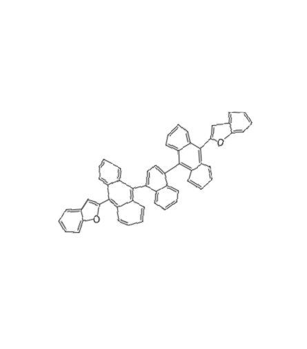 c1ccc2oc(-c3c4ccccc4c(-c4ccc(-c5c6ccccc6c(-c6cc7ccccc7o6)c6ccccc56)c5ccccc45)c4ccccc34)cc2c1